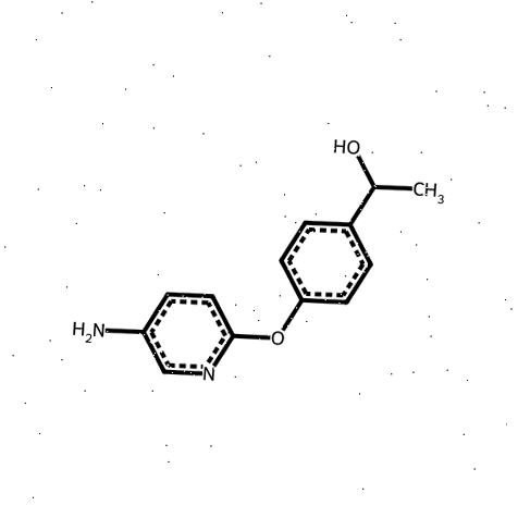 CC(O)c1ccc(Oc2ccc(N)cn2)cc1